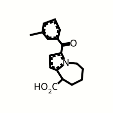 Cc1cccc(C(=O)c2ccc3n2CCCCC3C(=O)O)c1